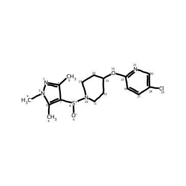 Cc1nn(C)c(C)c1[S+]([O-])N1CCC(Oc2ccc(Cl)cn2)CC1